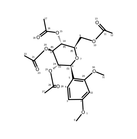 COc1ccc([C@@H]2O[C@H](COC(C)=O)[C@@H](OC(C)=O)[C@H](OC(C)=O)[C@H]2OC(C)=O)c(OC)c1